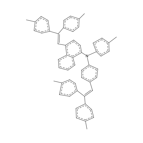 Cc1ccc(C(=Cc2ccc(N(c3ccc(C)cc3)c3ccc(C=C(c4ccc(C)cc4)c4ccc(C)cc4)c4ccccc34)cc2)c2ccc(C)cc2)cc1